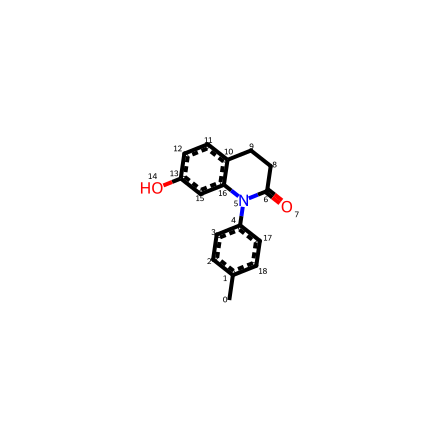 Cc1ccc(N2C(=O)CCc3ccc(O)cc32)cc1